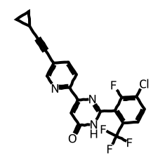 O=c1cc(-c2ccc(C#CC3CC3)cn2)nc(-c2c(C(F)(F)F)ccc(Cl)c2F)[nH]1